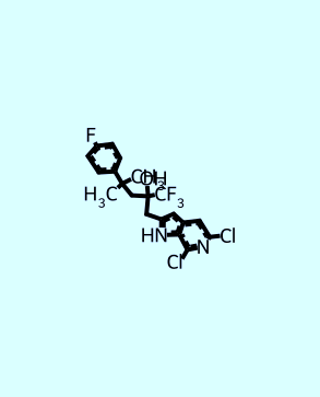 CC(C)(CC(O)(Cc1cc2cc(Cl)nc(Cl)c2[nH]1)C(F)(F)F)c1ccc(F)cc1